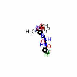 C/C=C(\C=N/C(C)OC)[C@]1(O)CC[C@H](N2CC(NC(=O)CNC(=O)c3cccc(C(F)(F)F)c3)C2)CC1